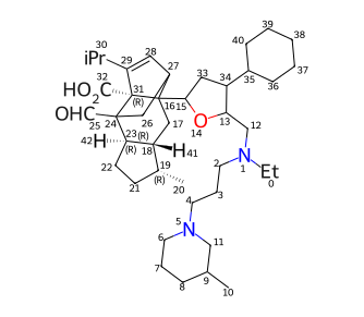 CCN(CCCN1CCCC(C)C1)CC1OC(C23C[C@@H]4[C@H](C)CC[C@H]4C4(C=O)CC2C=C(C(C)C)[C@@]34C(=O)O)CC1C1CCCCC1